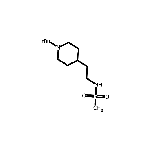 CC(C)(C)N1CCC(CCNS(C)(=O)=O)CC1